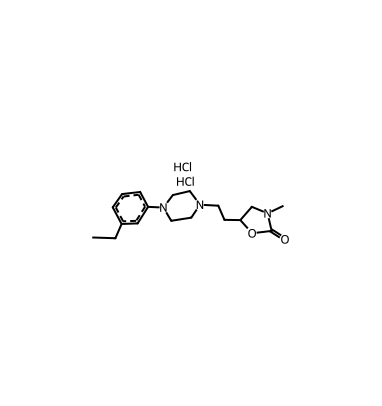 CCc1cccc(N2CCN(CCC3CN(C)C(=O)O3)CC2)c1.Cl.Cl